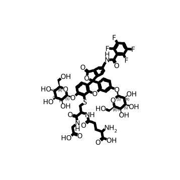 NC(CCC(=O)NC(CSc1c(O[C@@H]2O[C@H](CO)[C@@H](O)[C@H](O)[C@H]2O)ccc2c1Oc1cc(O[C@@H]3O[C@H](CO)[C@@H](O)[C@H](O)[C@H]3O)ccc1C21OC(=O)c2cc(NC(=O)c3c(F)c(F)cc(F)c3F)ccc21)C(=O)NCC(=O)O)C(=O)O